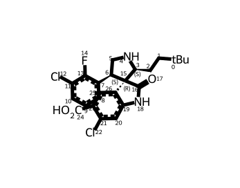 CC(C)(C)CC[C@@H]1NC[C@H](c2cccc(Cl)c2F)[C@]12C(=O)Nc1cc(Cl)c(C(=O)O)cc12